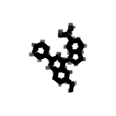 COc1ccc2nc(-c3cccnc3)nc(N3CCc4ccc([N+](=O)[O-])cc43)c2c1